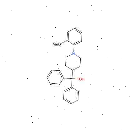 COc1c[c]ccc1N1CCC(C(O)(c2ccccc2)c2ccccc2)CC1